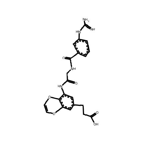 N=C(N)Nc1cccc(C(=O)NCC(=O)Nc2cc(CCC(=O)O)cc3c2OC=CO3)c1